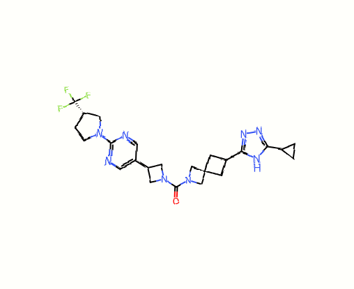 O=C(N1CC(c2cnc(N3CC[C@H](C(F)(F)F)C3)nc2)C1)N1CC2(CC(c3nnc(C4CC4)[nH]3)C2)C1